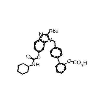 CCCCc1nc2ccc(OC(=O)NC3CCCCC3)cc2n1Cc1ccc(-c2ccccc2OC(=O)O)cc1